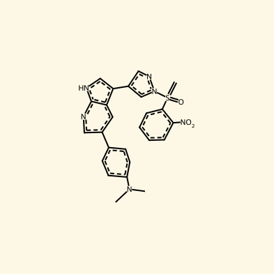 C=S(=O)(c1ccccc1[N+](=O)[O-])n1cc(-c2c[nH]c3ncc(-c4ccc(N(C)C)cc4)cc23)cn1